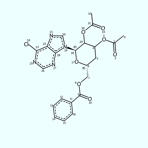 CC(=O)OC1C[C@H](COC(=O)c2ccccc2)O[C@@H](n2cnc3c(Cl)ncnc32)C1OC(C)=O